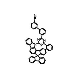 N#Cc1cccc(-c2cccc(-c3nc(-c4ccccc4)nc(-n4c5ccccc5c5ccc6c(c54)-c4ccccc4C64c5ccccc5-c5ccccc54)n3)c2)c1